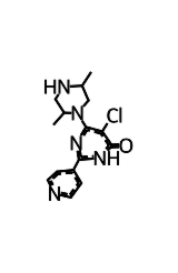 CC1CN(c2nc(-c3ccncc3)[nH]c(=O)c2Cl)C(C)CN1